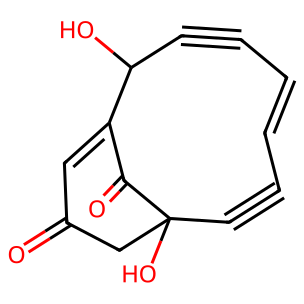 O=C1C=C2C(=O)C(O)(C#C/C=C/C#CC2O)C1